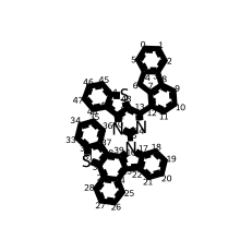 c1ccc2c(c1)Cc1c-2cccc1-c1nc(-n2c3ccccc3c3c4ccccc4c4sc5ccccc5c4c32)nc2c1sc1ccccc12